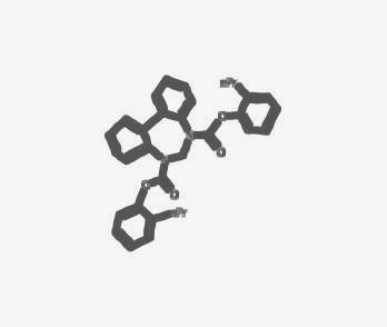 CCCc1ccccc1OC(=O)N1CN(C(=O)Oc2ccccc2CCC)c2ccccc2-c2ccccc21